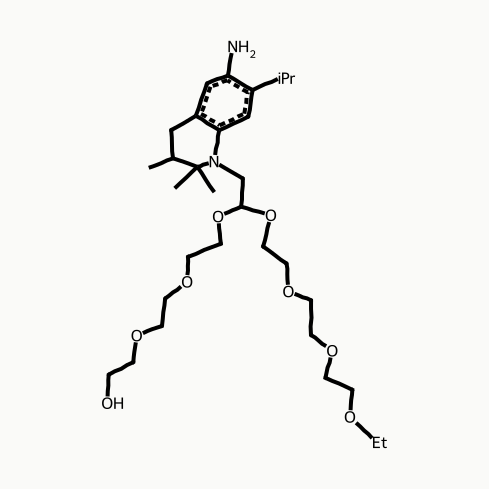 CCOCCOCCOCCOC(CN1c2cc(C(C)C)c(N)cc2CC(C)C1(C)C)OCCOCCOCCO